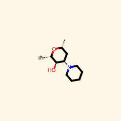 CC(C)[C@@H]1O[C@H](C)C[C@H](N2CCCCC2)[C@H]1O